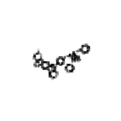 CC1C=Cc2oc3cc4c5ccccc5n(-c5ccc(CN6C(c7ccccc7)N(C)N6Cc6ccccc6)cc5)c4cc3c2C1